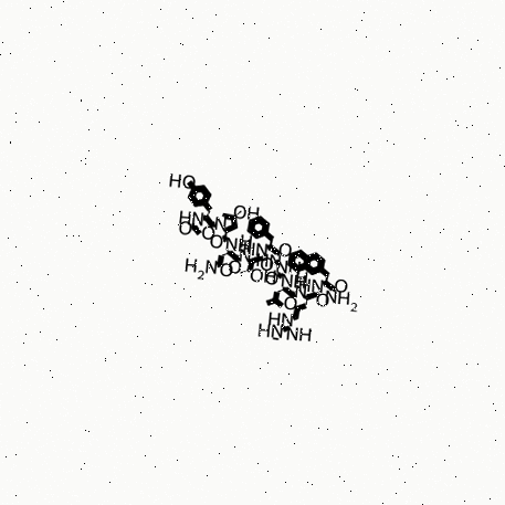 CNC(=N)NCCC[C@H](NC(=O)[C@H](CC(C)C)NC(=O)NNC(=O)[C@H](Cc1ccccc1)NC(=O)[C@@H](NC(=O)[C@H](CC(N)=O)NC(=O)[C@@H]1C[C@@H](O)CN1C(=O)[C@@H](Cc1ccc(O)cc1)NC(C)=O)[C@@H](C)O)C(=O)N[C@@H](Cc1ccc2ccccc2c1)C(N)=O